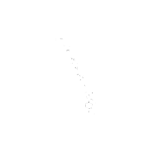 Cc1ccc(S(=O)(=O)C(O)CCOCCNCCNCCNCCOCCCO)cc1